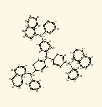 C1=CC(N(C2=CCC(N(c3ccccc3)c3cccc4ccccc34)C=C2)c2ccc(N(c3ccccc3)c3cccc4ccccc34)cc2)CC=C1N(c1ccccc1)c1cccc2ccccc12